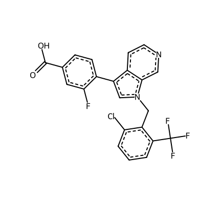 O=C(O)c1ccc(-c2cn(Cc3c(Cl)cccc3C(F)(F)F)c3cnccc23)c(F)c1